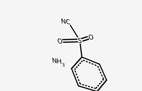 N.N#CS(=O)(=O)c1ccccc1